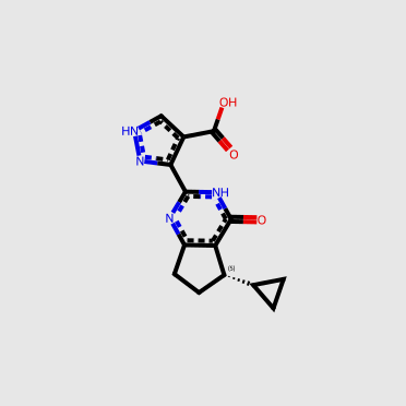 O=C(O)c1c[nH]nc1-c1nc2c(c(=O)[nH]1)[C@H](C1CC1)CC2